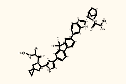 CC(C)C(NC(=O)O)C(=O)N1CC2(CC2)CC1c1nc(-c2ccc3c(c2)C(F)(F)c2cc(-c4ccc5nc([C@@H]6C7CCC(C7)N6C(=O)[C@@H](N)C(C)C)[nH]c5c4)ccc2-3)c[nH]1